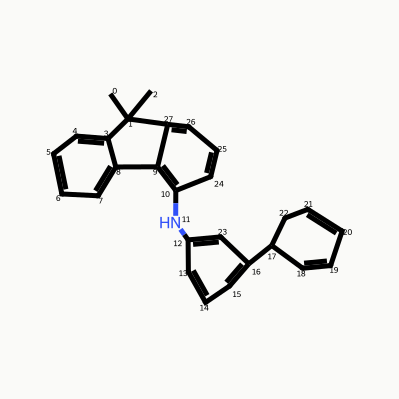 CC1(C)c2ccccc2-c2c(Nc3cccc(C4C=CC=CC4)c3)cccc21